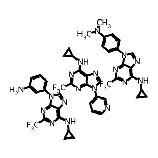 CN(C)c1ccc(-n2cnc3c(NC4CC4)nc(C(F)(F)F)nc32)cc1.FC(F)(F)c1nc(NC2CC2)c2ncn(-c3cccnc3)c2n1.Nc1cccc(-n2cnc3c(NC4CC4)nc(C(F)(F)F)nc32)c1